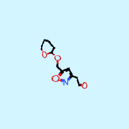 O=CCc1cc(COC2CCCCO2)on1